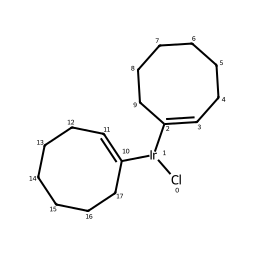 [Cl][Ir]([C]1=CCCCCCC1)[C]1=CCCCCCC1